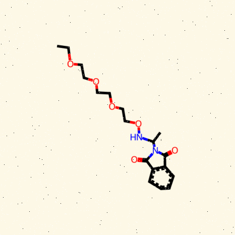 CCOCCOCCOCCONC(C)N1C(=O)c2ccccc2C1=O